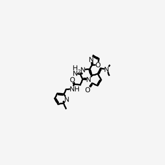 Cc1cccc(CNC(=O)Cc2nc(C(/C=C\C=O)=C/N(C)C)c(-c3ncco3)nc2N)n1